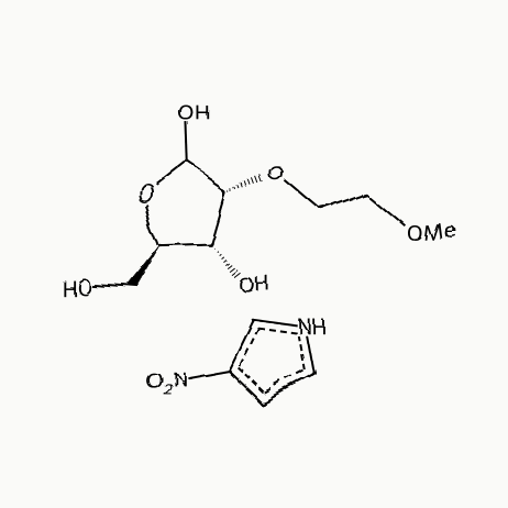 COCCO[C@H]1C(O)O[C@H](CO)[C@H]1O.O=[N+]([O-])c1cc[nH]c1